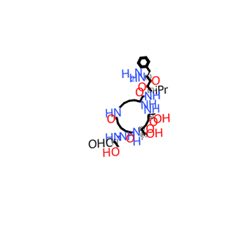 CC(C)[C@H](NC(=O)C1CCCCNC(=O)CCC(NN[C@H](C=O)CO)C(=O)N[C@@H]([C@@H](C)O)C(=O)C(=O)[C@H](CO)NN1)C(=O)C(=O)[C@H](Cc1ccccc1)NN